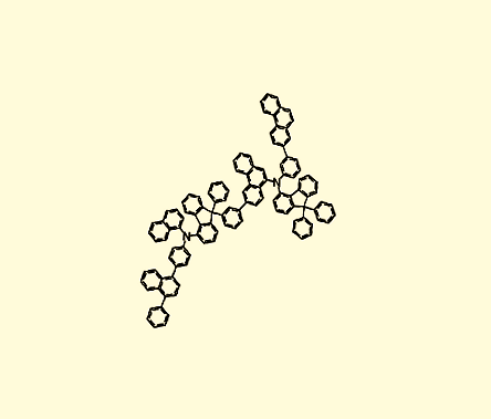 c1ccc(-c2ccc(-c3ccc(N(c4cccc5c4-c4ccccc4C5(c4ccccc4)c4cccc(-c5ccc6c(N(c7cccc(-c8ccc9c(ccc%10ccccc%109)c8)c7)c7cccc8c7-c7ccccc7C8(c7ccccc7)c7ccccc7)cc7ccccc7c6c5)c4)c4cccc5ccccc45)cc3)c3ccccc23)cc1